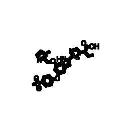 CCC(C(=O)O)C1CN=C(c2cc3cc(Oc4ccc(S(C)(=O)=O)cc4)cc(OCc4nccn4C)c3[nH]2)S1